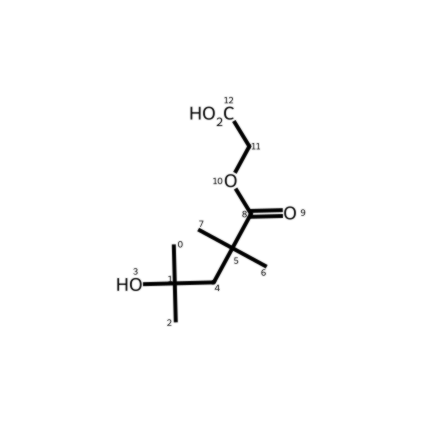 CC(C)(O)CC(C)(C)C(=O)OCC(=O)O